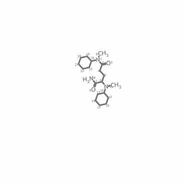 CN(C(=O)CCC(C(N)=O)N(C)C1CCCCC1)C1CCCCC1